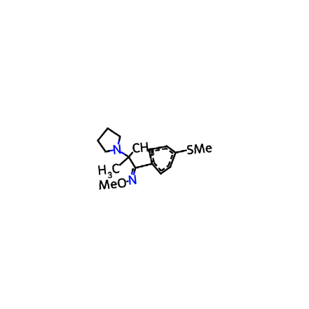 CON=C(c1ccc(SC)cc1)C(C)(C)N1CCCC1